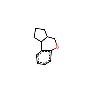 c1ccc2c(c1)OCC1CCCC21